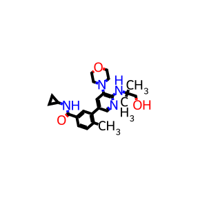 Cc1ccc(C(=O)NC2CC2)cc1-c1cnc(NC(C)(C)CO)c(N2CCOCC2)c1